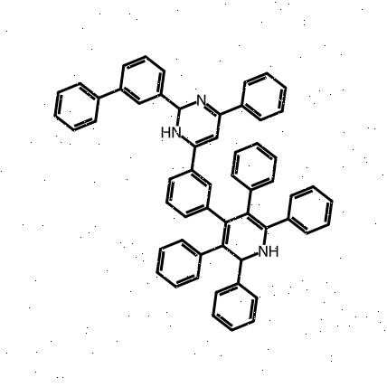 C1=C(c2cccc(C3=C(c4ccccc4)C(c4ccccc4)NC(c4ccccc4)=C3c3ccccc3)c2)NC(c2cccc(-c3ccccc3)c2)N=C1c1ccccc1